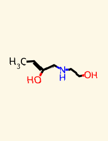 CC=C(O)CNCCO